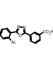 CC(=O)c1ccccc1-c1nnc(-c2cccc(C(=O)O)c2)o1